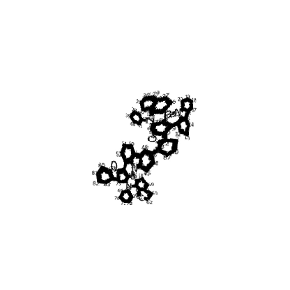 C1=Cc2c(oc3cc4c5c(c23)-c2cccc3c6ccccc6n(c23)B5c2ccc3ccccc3c2N4c2ccccc2)C(c2ccc3c(c2)c2cccc4c2n3B2c3ccc5ccccc5c3N(c3ccccc3)c3cc5c(oc6ccccc65)c-4c32)C1